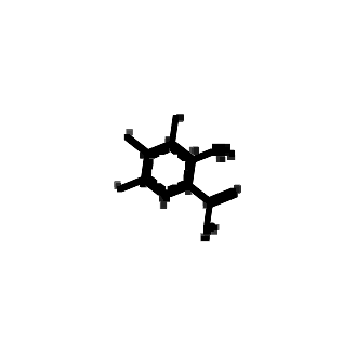 C=C(c1nc(C)c(C)c(C)c1N)C(C)C